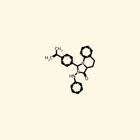 C=C(C)c1ccc(C2N(Nc3ccccc3)C(=O)C3CCc4ccccc4N32)cc1